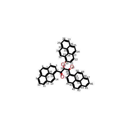 O=C(c1ccc2ccc3cccc4ccc1c2c34)C(Oc1ccc2ccc3cccc4ccc1c2c34)C(=O)c1ccc2ccc3cccc4ccc1c2c34